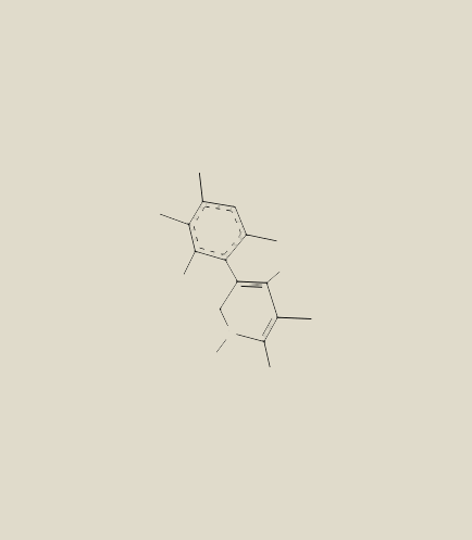 CC1=C(C)[S+]([O-])CC(c2c(C)cc(C)c(C)c2C)=C1O